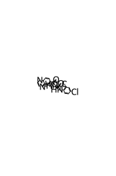 O=C(NC(=O)c1ccc2nccnc2c1)Nc1ccc(Cl)cc1C(=O)O